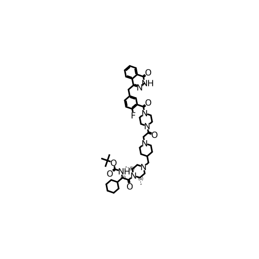 C[C@@H]1CN(CC2CCN(CC(=O)N3CCN(C(=O)c4cc(Cc5n[nH]c(=O)c6ccccc56)ccc4F)CC3)CC2)C[C@H](C)N1C(=O)[C@H](NC(=O)OC(C)(C)C)C1CCCCC1